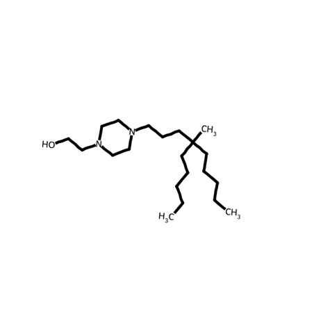 CCCCCC(C)(CCCCC)CCCN1CCN(CCO)CC1